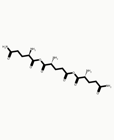 NC(=O)CC[C@@H](N)C(=O)OC(=O)CC[C@@H](N)C(=O)OC(=O)[C@H](N)CCC(N)=O